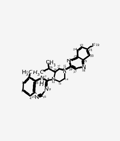 Cc1ccccc1N/C(=N\C#N)N1CCN(c2cnc3cc(F)ccc3n2)CC1C(C)C